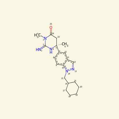 CN1C(=N)N[C@](C)(c2ccc3c(cnn3CC3CCCCC3)c2)CC1=O